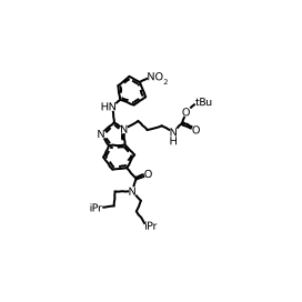 CC(C)CCN(CCC(C)C)C(=O)c1ccc2nc(Nc3ccc([N+](=O)[O-])cc3)n(CCCNC(=O)OC(C)(C)C)c2c1